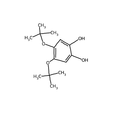 CC(C)(C)Oc1cc(O)c(O)cc1OC(C)(C)C